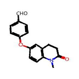 CN1C(=O)CCc2cc(Oc3ccc(C=O)cc3)ccc21